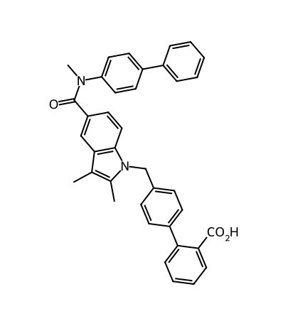 Cc1c(C)n(Cc2ccc(-c3ccccc3C(=O)O)cc2)c2ccc(C(=O)N(C)c3ccc(-c4ccccc4)cc3)cc12